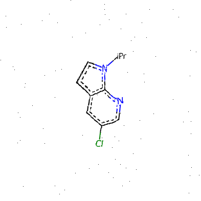 CC(C)n1ccc2cc(Cl)cnc21